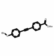 COC(=O)c1ccc(C#Cc2ccc(OC(C)(C)C)cc2)cc1